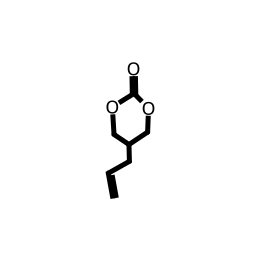 C=CCC1COC(=O)OC1